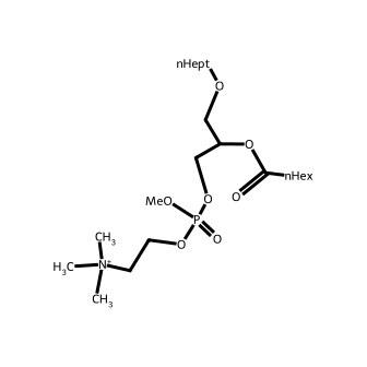 CCCCCCCOCC(COP(=O)(OC)OCC[N+](C)(C)C)OC(=O)CCCCCC